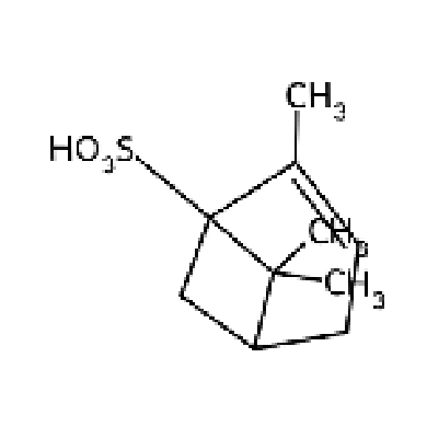 CC1=CCC2CC1(S(=O)(=O)O)C2(C)C